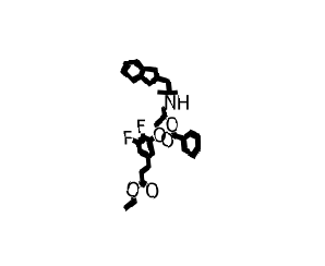 CCOC(=O)CCc1cc(F)c(F)c(OCC(CNC(C)(C)CC2Cc3ccccc3C2)OC(=O)c2ccccc2)c1